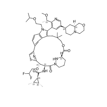 CO[C@@H](C)c1ncc([C@@H]2CCN3CCOC[C@@H]3C2)cc1-c1c2c3cc(ccc3n1CCOC(C)C)-c1csc(n1)[C@@H](OCC(F)F)[C@H](NC(=O)[C@H]1[C@H](C)[C@@H]1C)C(=O)N1CCC[C@H](N1)C(=O)OCC(C)(C)C2